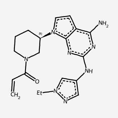 C=CC(=O)N1CCC[C@@H](n2ccc3c(N)nc(Nc4cnn(CC)c4)nc32)C1